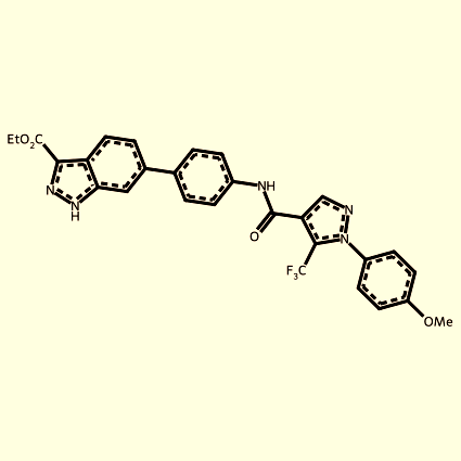 CCOC(=O)c1n[nH]c2cc(-c3ccc(NC(=O)c4cnn(-c5ccc(OC)cc5)c4C(F)(F)F)cc3)ccc12